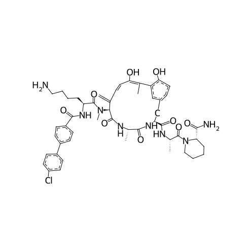 C=C1/C=C\C(O)=C(/C)c2cc(ccc2O)C[C@@H](C(=O)N[C@@H](C)C(=O)N2CCCC[C@H]2C(N)=O)NC(=O)[C@H](C)NC(=O)[C@H]1N(C)C(=O)[C@H](CCCCN)NC(=O)c1ccc(-c2ccc(Cl)cc2)cc1